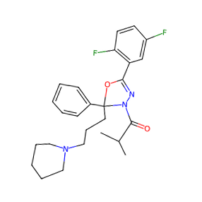 CC(C)C(=O)N1N=C(c2cc(F)ccc2F)OC1(CCCN1CCCCC1)c1ccccc1